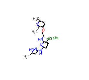 Cc1ccc(OCCNc2nc(Nc3cc(C)[nH]n3)ccc2C#N)c(C)n1.Cl.Cl